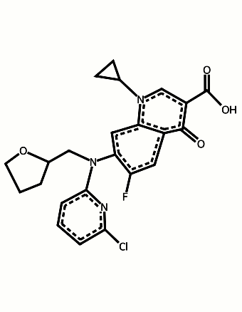 O=C(O)c1cn(C2CC2)c2cc(N(CC3CCCO3)c3cccc(Cl)n3)c(F)cc2c1=O